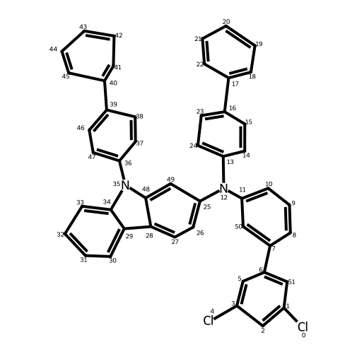 Clc1cc(Cl)cc(-c2cccc(N(c3ccc(-c4ccccc4)cc3)c3ccc4c5ccccc5n(-c5ccc(-c6ccccc6)cc5)c4c3)c2)c1